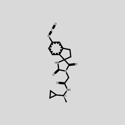 C[C@H](NC(=O)CN1C(=O)NC2(CCc3cc(N=C=O)ccc32)C1=O)C1CC1